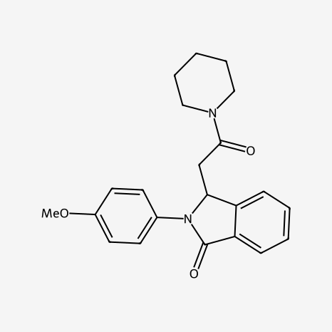 COc1ccc(N2C(=O)c3ccccc3C2CC(=O)N2CCCCC2)cc1